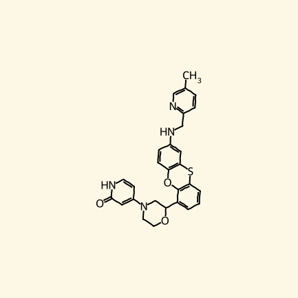 Cc1ccc(CNc2ccc3c(c2)Sc2cccc(C4CN(c5cc[nH]c(=O)c5)CCO4)c2O3)nc1